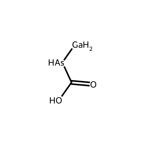 O=C(O)[AsH][GaH2]